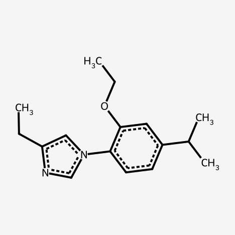 CCOc1cc(C(C)C)ccc1-n1cnc(CC)c1